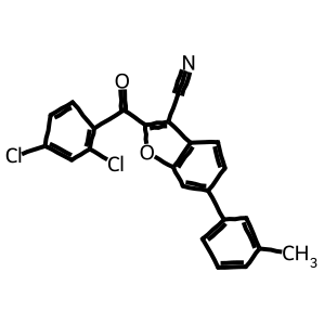 Cc1cccc(-c2ccc3c(C#N)c(C(=O)c4ccc(Cl)cc4Cl)oc3c2)c1